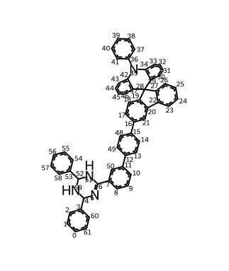 c1ccc(C2N=C(c3cccc(-c4ccc(-c5ccc6c(c5)-c5ccccc5C65c6ccccc6N(c6ccccc6)c6ccccc65)cc4)c3)NC(c3ccccc3)N2)cc1